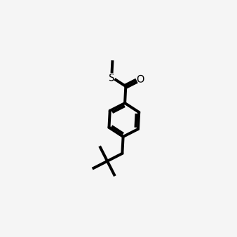 CSC(=O)c1ccc(CC(C)(C)C)cc1